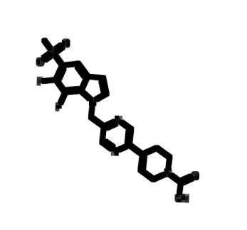 CS(=O)(=O)c1cc2ccn(Cc3cnc(C4=CCN(C(=O)O)CC4)cn3)c2c(F)c1F